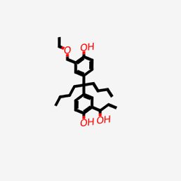 CCCCC(CCCC)(c1ccc(O)c(COCC)c1)c1ccc(O)c(C(O)CC)c1